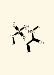 C=CC(=O)NC.COS(=O)(=O)O